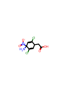 NC1([N+](=O)[O-])C=C(Cl)C(CC(=O)O)C=C1Cl